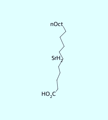 CCCCCCCCCCCCCCCCCC(=O)O.[SrH2]